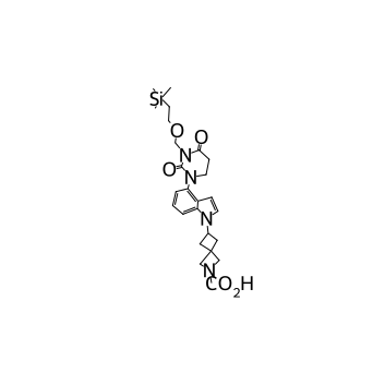 C[Si](C)(C)CCOCN1C(=O)CCN(c2cccc3c2ccn3C2CC3(C2)CN(C(=O)O)C3)C1=O